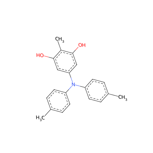 Cc1ccc(N(c2ccc(C)cc2)c2cc(O)c(C)c(O)c2)cc1